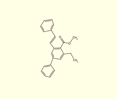 CCc1cc(-c2ccccc2)cc(/C=C/c2ccccc2)c1C(=O)OC